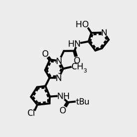 Cc1nc(-c2ccc(Cl)cc2NC(=O)C(C)(C)C)cc(=O)n1CC(=O)Nc1cccnc1O